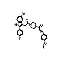 CCOc1ccc(/C=C/C(=O)N2CCN(C(=O)Cc3c(-c4ccc(F)cc4)[nH]c4ccc(Br)cc34)CC2)cc1